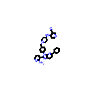 N#Cc1cnccc1NC1CCN(Cc2ccc(-n3c(-c4cccnc4N)nc4ccc(-c5ccccc5)nc43)cc2)CC1